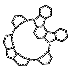 c1ccc2c(c1)c1c3c4ccccc4n4c5cccc(c5)c5cc6c(cn5)sc5ccc(cc56)c5cccc(c5)n2c1ccc34